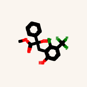 COC(=O)C(O)(Cc1c(O)ccc(C(F)(F)F)c1Br)c1ccccc1